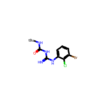 CC(C)(C)NC(=O)NC(=N)Nc1cccc(Br)c1Cl